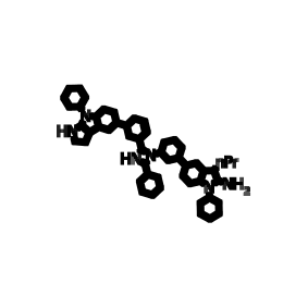 CCCC1C2CC(C3CCCC(N4C(C5C=CCC(C6CCC7C(C6)C6CCNC6N7C6CCCCC6)C5)NC4C4CCCCC4)C3)CCC2N(C2CCCCC2)C1N